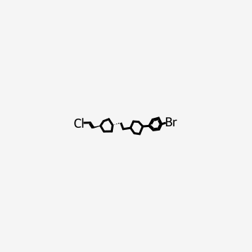 Cl/C=C/[C@H]1CC[C@H](CCC2CCC(c3ccc(Br)cc3)CC2)CC1